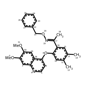 COc1cc2nccc(Oc3cc(C)c(C)cc3C(C)=NOCc3ccccc3)c2cc1OC